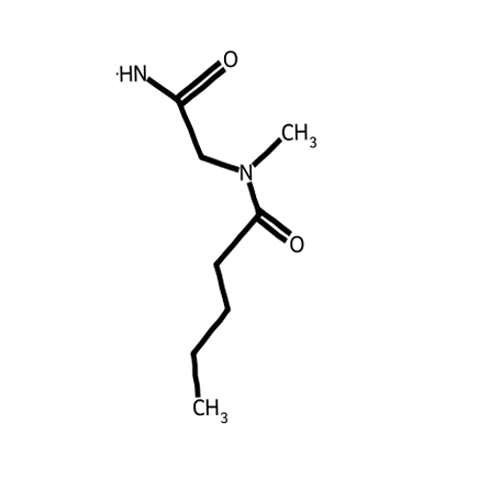 CCCCC(=O)N(C)CC([NH])=O